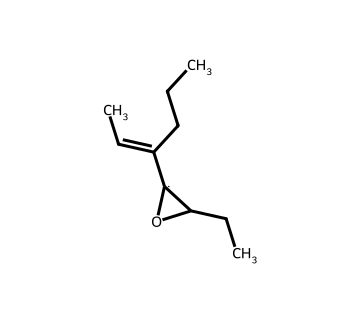 CC=C(CCC)[C]1OC1CC